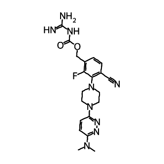 CN(C)c1ccc(N2CCN(c3c(C#N)ccc(COC(=O)NC(=N)N)c3F)CC2)nn1